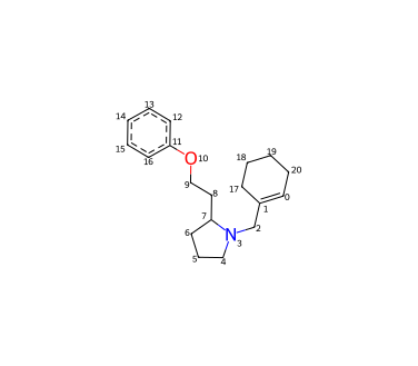 C1=C(CN2CCCC2CCOc2ccccc2)CCCC1